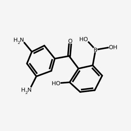 Nc1cc(N)cc(C(=O)c2c(O)cccc2B(O)O)c1